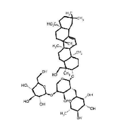 C[C@@H]1O[C@@H](C[C@H]2[C@H](O[C@H]3CC[C@@]4(C)C(CC[C@]5(C)C4CC=C4C6CC(C)(C)CC[C@]6(C(=O)O)CC[C@]45C)[C@]3(C)CO)OC[C@H](O[C@@H]3O[C@H](CO)[C@@H](O)[C@H](O)[C@H]3O)[C@@H]2O)[C@H](O)[C@H](O)[C@H]1O